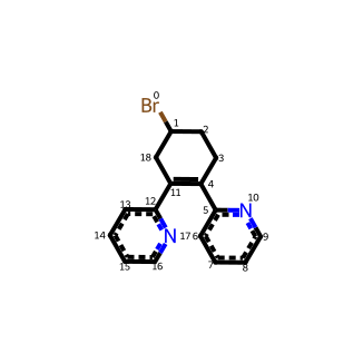 BrC1CCC(c2ccccn2)=C(c2ccccn2)C1